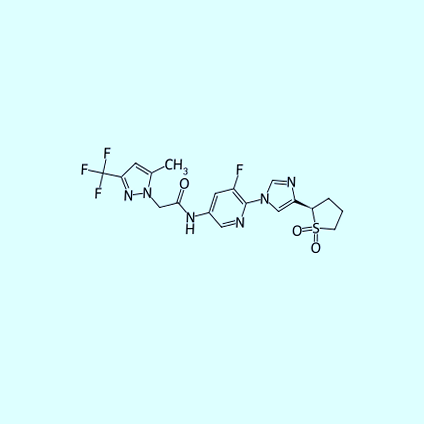 Cc1cc(C(F)(F)F)nn1CC(=O)Nc1cnc(-n2cnc([C@H]3CCCS3(=O)=O)c2)c(F)c1